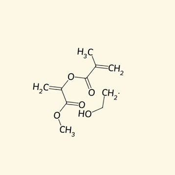 C=C(C)C(=O)OC(=C)C(=O)OC.[CH2]CO